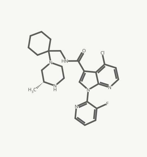 C[C@@H]1CN(C2(CNC(=O)c3cn(-c4ncccc4F)c4nccc(Cl)c34)CCCCC2)CCN1